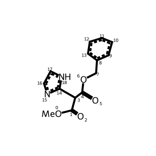 COC(=O)C(C(=O)OCc1ccccc1)c1ncc[nH]1